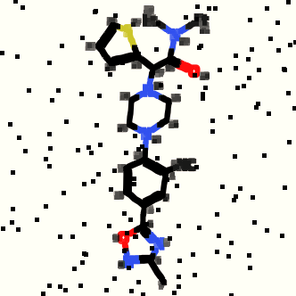 [C-]#[N+]c1cc(-c2nc(C)no2)ccc1N1CCN(C(C(=O)N(CC)CC)c2cccs2)CC1